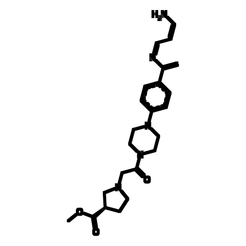 C=C(/N=C\C=C/N)c1ccc(N2CCN(C(=O)CN3CC[C@@H](C(=O)OC)C3)CC2)cc1